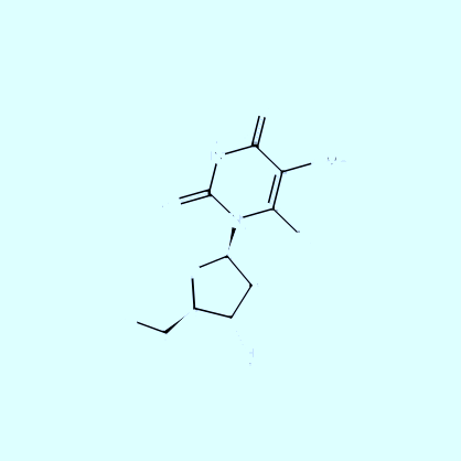 COc1c(I)n([C@H]2C[C@H](O)[C@@H](CO)O2)c(=O)[nH]c1=O